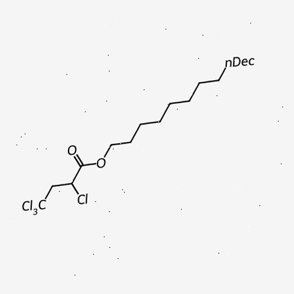 CCCCCCCCCCCCCCCCCCOC(=O)C(Cl)CC(Cl)(Cl)Cl